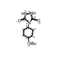 CC(C)COc1ccc(-n2c(=O)[nH][nH]c2=O)cc1